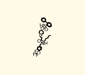 CCCCCN(NCc1ccc(OC(F)(F)F)cc1)C(=O)CCN1CCC(OC(=O)Nc2ccccc2-c2ccccc2)CC1